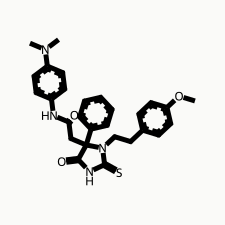 COc1ccc(CCN2C(=S)NC(=O)C2(CC(=O)Nc2ccc(N(C)C)cc2)c2ccccc2)cc1